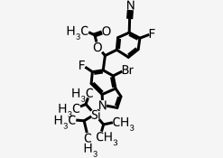 CC(=O)OC(c1ccc(F)c(C#N)c1)c1c(F)cc2c(ccn2[Si](C(C)C)(C(C)C)C(C)C)c1Br